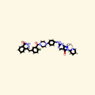 Cn1c2nc(Nc3ccc(N4CCN(C(=O)c5cc(Cc6n[nH]c(=O)c7ccccc67)ccc5F)CC4)cc3)ncc2c(=O)n1-c1ccccn1